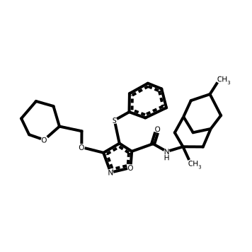 CC1CC2CC(C1)CC(C)(NC(=O)c1onc(OCC3CCCCO3)c1Sc1ccccc1)C2